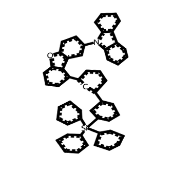 c1ccc([Si](c2ccccc2)(c2ccccc2)c2cccc(-c3cccc(-c4cccc5oc6ccc(-n7c8ccccc8c8ccccc87)cc6c45)c3)c2)cc1